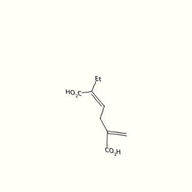 C=C(CC=C(CC)C(=O)O)C(=O)O